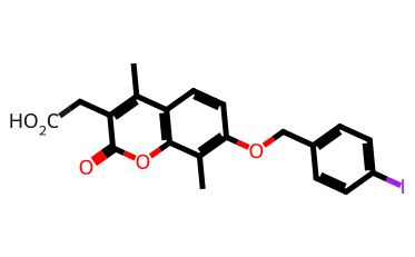 Cc1c(CC(=O)O)c(=O)oc2c(C)c(OCc3ccc(I)cc3)ccc12